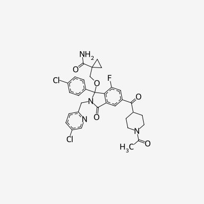 CC(=O)N1CCC(C(=O)c2cc(F)c3c(c2)C(=O)N(Cc2ccc(Cl)cn2)C3(OCC2(C(N)=O)CC2)c2ccc(Cl)cc2)CC1